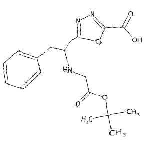 CC(C)(C)OC(=O)CNC(Cc1ccccc1)c1nnc(C(=O)O)o1